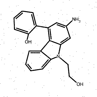 Nc1cc(-c2ccccc2O)c2c3ccccc3n(CCO)c2c1